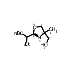 CCCCC(CC)C1=NC(C)(CO)CO1